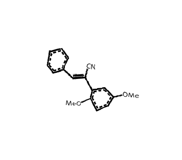 COc1ccc(OC)c(C(C#N)=Cc2ccccc2)c1